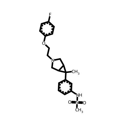 CC1(c2cccc(NS(C)(=O)=O)c2)C2CN(CCOc3ccc(F)cc3)CC21